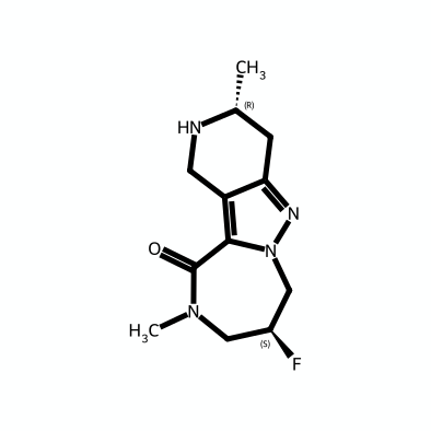 C[C@@H]1Cc2nn3c(c2CN1)C(=O)N(C)C[C@H](F)C3